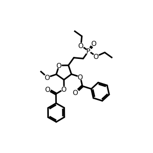 CCOP(=O)(CCC1OC(OC)C(OC(=O)c2ccccc2)C1OC(=O)c1ccccc1)OCC